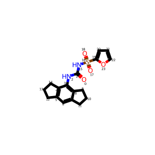 O=C(Nc1c2c(cc3c1CCC3)CCC2)NS(=O)(=O)c1ccco1